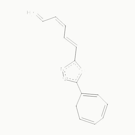 C=C/C=C\C=C\c1nnc(C2=CC=CC=CC2)o1